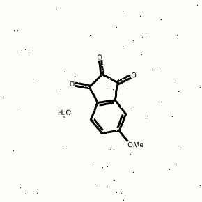 COc1ccc2c(=O)c(=O)c(=O)c2c1.O